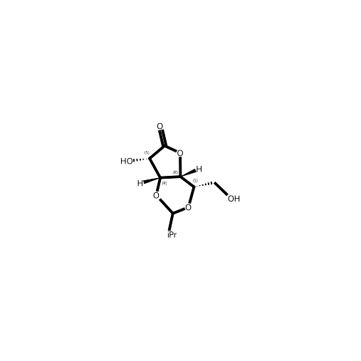 CC(C)C1O[C@H]2[C@H](OC(=O)[C@H]2O)[C@H](CO)O1